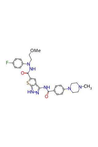 COCCN(NC(=O)c1cc2c(NC(=O)c3ccc(N4CCN(C)CC4)cc3)n[nH]c2s1)c1ccc(F)cc1